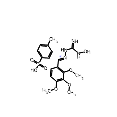 COc1ccc(/C=N/NC(=N)NO)c(OC)c1OC.Cc1ccc(S(=O)(=O)O)cc1